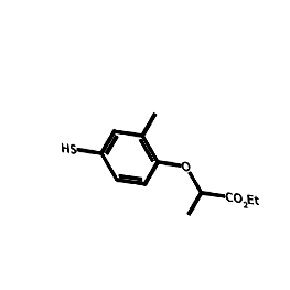 CCOC(=O)C(C)Oc1ccc(S)cc1C